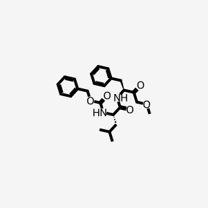 COCC(=O)[C@H](Cc1ccccc1)NC(=O)[C@H](CC(C)C)NC(=O)OCc1ccccc1